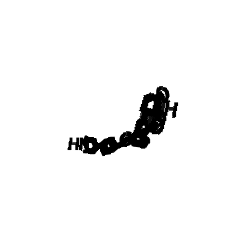 O=C1CCC[C@H](N2Cc3c(OCc4ccc(C5CCNCC5)cc4)cccc3C2=O)C(=O)N1